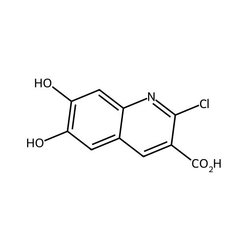 O=C(O)c1cc2cc(O)c(O)cc2nc1Cl